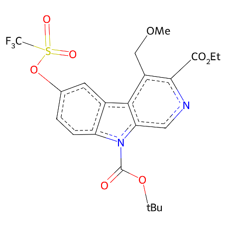 CCOC(=O)c1ncc2c(c1COC)c1cc(OS(=O)(=O)C(F)(F)F)ccc1n2C(=O)OC(C)(C)C